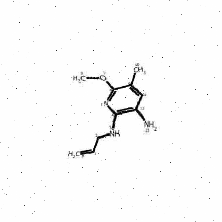 C=CCNc1nc(OC)c(C)cc1N